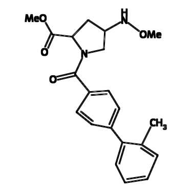 CONC1CC(C(=O)OC)N(C(=O)c2ccc(-c3ccccc3C)cc2)C1